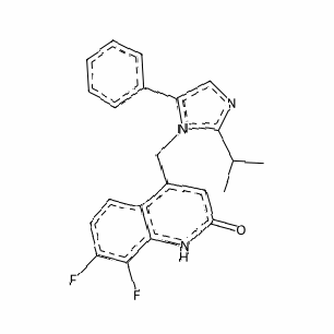 CC(C)c1ncc(-c2ccccc2)n1Cc1cc(=O)[nH]c2c(F)c(F)ccc12